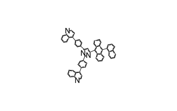 c1ccc2c(-c3c4ccccc4c(-c4cc(-c5ccc(-c6ccnc7ccccc67)cc5)nc(-c5ccc(-c6ccnc7ccccc67)cc5)n4)c4ccccc34)cccc2c1